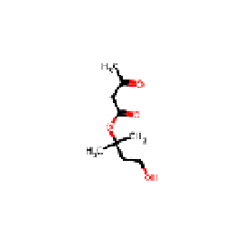 CC(=O)CC(=O)OC(C)(C)CCO